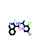 CC(NC(=O)c1c(F)ncc2ccccc12)c1ncc(Br)cc1Cl